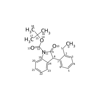 CCc1ccccc1C1C(=O)N(C(=O)OC(C)(C)C)c2ccccc21